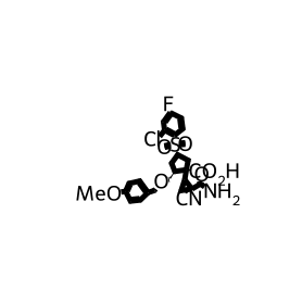 COc1ccc(COC[C@@H]2C[C@H](S(=O)(=O)c3ccc(F)cc3Cl)C[C@@]2(C(=O)O)C2CC2(C#N)C(N)=O)cc1